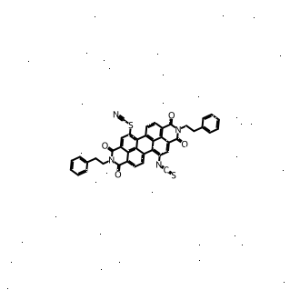 N#CSc1cc2c3c(ccc4c5c(N=C=S)cc6c7c(ccc(c1c34)c75)C(=O)N(CCc1ccccc1)C6=O)C(=O)N(CCc1ccccc1)C2=O